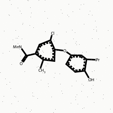 CNC(=O)c1cc(Cl)c(Oc2ccc(O)c(C(C)C)c2)cc1C